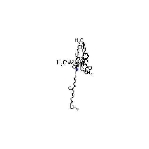 C=CCOC(=O)C[C@@](O)(C(=O)OCC=C)[C@H](/C=C/CCCCCCC(=O)CCCCCCC)C(=O)N[C@@H](Cc1ccc(OCC#CC)cc1)C(=O)OC